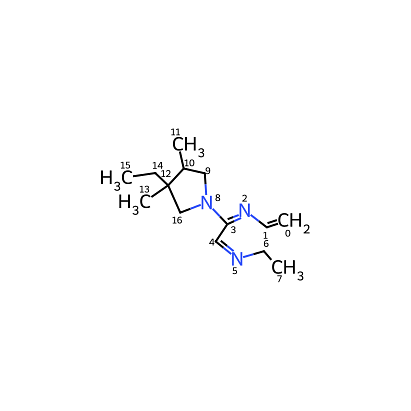 C=C/N=C(\C=N/CC)N1CC(C)C(C)(CC)C1